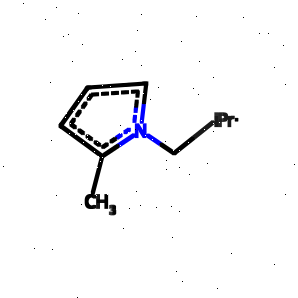 C[C](C)Cn1cccc1C